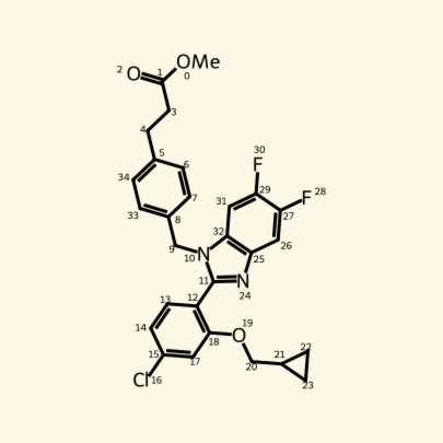 COC(=O)CCc1ccc(Cn2c(-c3ccc(Cl)cc3OCC3CC3)nc3cc(F)c(F)cc32)cc1